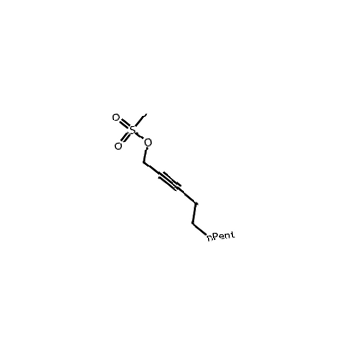 CCCCCCCC#CCOS(C)(=O)=O